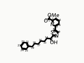 COC(=O)c1cccc(-c2cnc(C(O)CCCCCCc3ccccc3)s2)n1